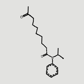 CC(=O)CCCCCCCC(=O)N(c1ccccc1)C(C)C